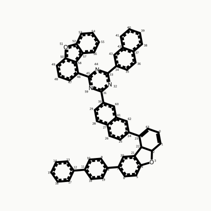 C1=CC2Oc3ccc(-c4ccc(-c5ccccc5)cc4)cc3C2C(c2ccc3ccc(-c4nc(-c5ccc6ccccc6c5)nc(-c5cccc6oc7ccccc7c56)n4)cc3c2)=C1